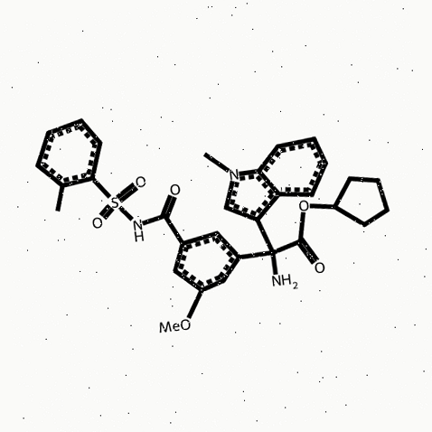 COc1cc(C(=O)NS(=O)(=O)c2ccccc2C)cc(C(N)(C(=O)OC2CCCC2)c2cn(C)c3ccccc23)c1